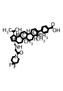 C=C(C)[C@@H]1CC[C@]2(CNCC(=O)N3CCC(F)(F)CC3)CC[C@]3(C)[C@H](CC[C@@H]4[C@@]5(C)CC=C(c6ccc(C(=O)O)cc6)C(C)(C)[C@@H]5CC[C@]43C)[C@@H]12